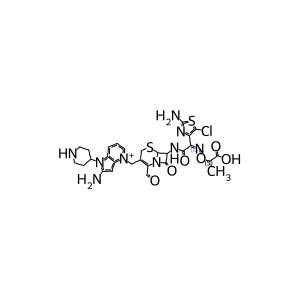 C[C@H](O/N=C(\C(=O)NC1C(=O)N2C(C=O)=C(C[n+]3cccc4c3cc(N)n4C3CCNCC3)CSC12)c1nc(N)sc1Cl)C(=O)O